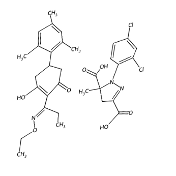 CC1(C(=O)O)CC(C(=O)O)=NN1c1ccc(Cl)cc1Cl.CCO/N=C(\CC)C1=C(O)CC(c2c(C)cc(C)cc2C)CC1=O